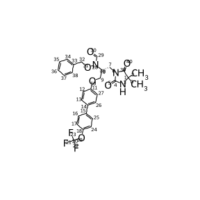 CC1(C)NC(=O)N(C[C@H](COc2ccc(-c3ccc(OC(F)(F)F)cc3)cc2)N(C=O)OCc2ccccc2)C1=O